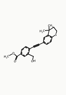 COC(=O)c1ccc(C#Cc2ccc3c(c2)C(C)(C)CCS3)c(CO)c1